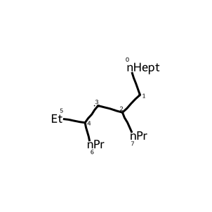 CCCCCCCCC([CH]C(CC)CCC)CCC